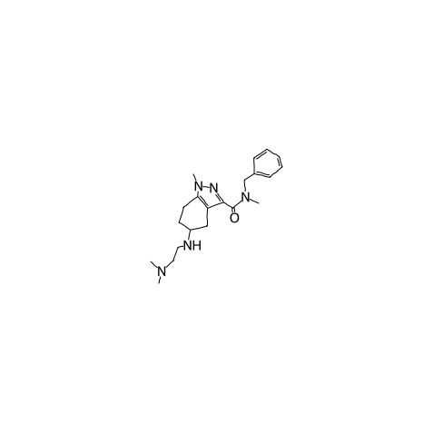 CN(C)CCNC1CCc2c(c(C(=O)N(C)Cc3ccccc3)nn2C)C1